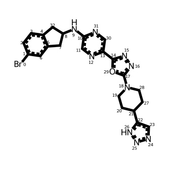 Brc1ccc2c(c1)CC(Nc1cnc(-c3nnc(N4CCC(c5cnn[nH]5)CC4)o3)cn1)C2